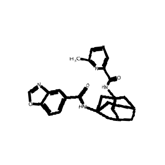 Cc1cccc(C(=O)NC23CC4CC(CC(NC(=O)c5ccc6ocnc6c5)(C4)C2)C3)n1